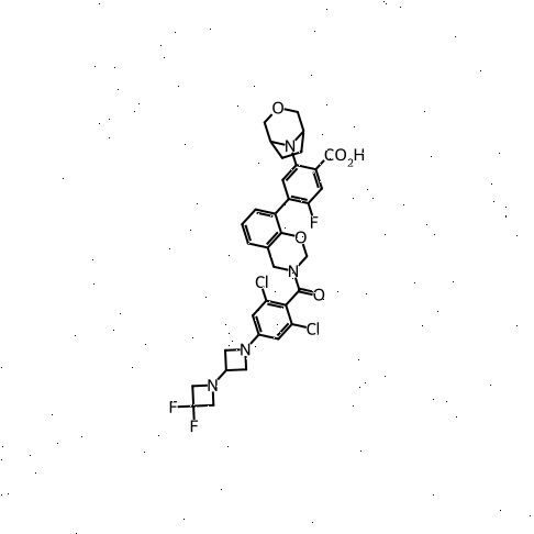 O=C(O)c1cc(F)c(-c2cccc3c2OCN(C(=O)c2c(Cl)cc(N4CC(N5CC(F)(F)C5)C4)cc2Cl)C3)cc1N1C2CCC1COC2